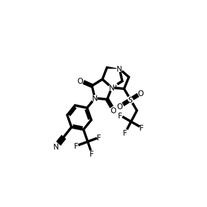 N#Cc1ccc(N2C(=O)C3C[N@@]4CC(S(=O)(=O)CC(F)(F)F)[N+]3(C4)C2=O)cc1C(F)(F)F